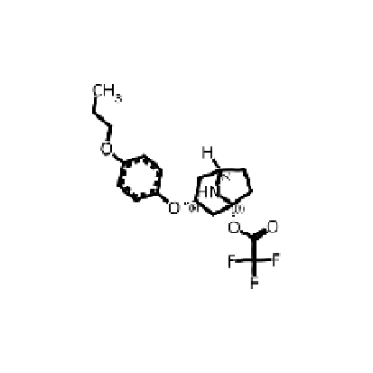 CCCOc1ccc(O[C@@H]2C[C@@H]3CC[C@@](OC(=O)C(F)(F)F)(C2)N3)cc1